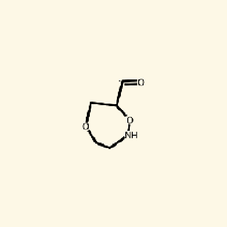 O=[C]C1COCCNO1